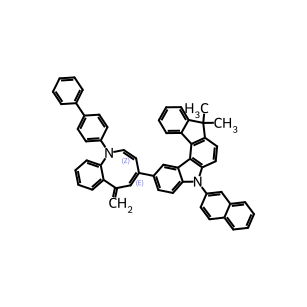 C=C1/C=C(c2ccc3c(c2)c2c4c(ccc2n3-c2ccc3ccccc3c2)C(C)(C)c2ccccc2-4)\C=C/N(c2ccc(-c3ccccc3)cc2)c2ccccc21